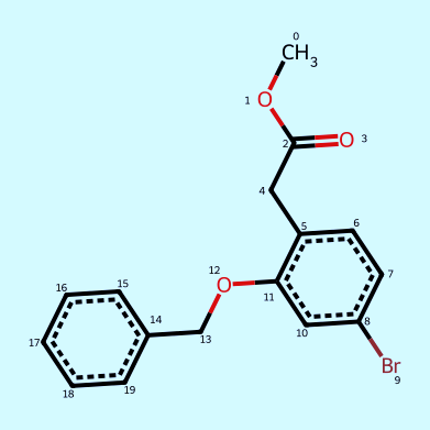 COC(=O)Cc1ccc(Br)cc1OCc1ccccc1